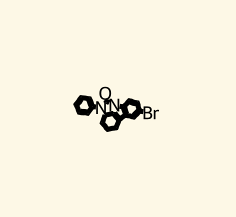 O=C1N(c2ccccc2)C2CCCc3c2n1c1ccc(Br)cc31